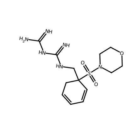 N=C(N)NC(=N)NCC1(S(=O)(=O)N2CCOCC2)C=CC=CC1